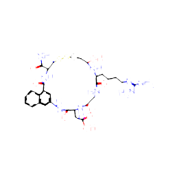 NC(=O)C1CSSCCC(O)NC(CCCCN=C(N)N)C(=O)NCC(=O)NC(CC(=O)O)C(=O)Nc2cc(c3ccccc3c2)C(=O)N1